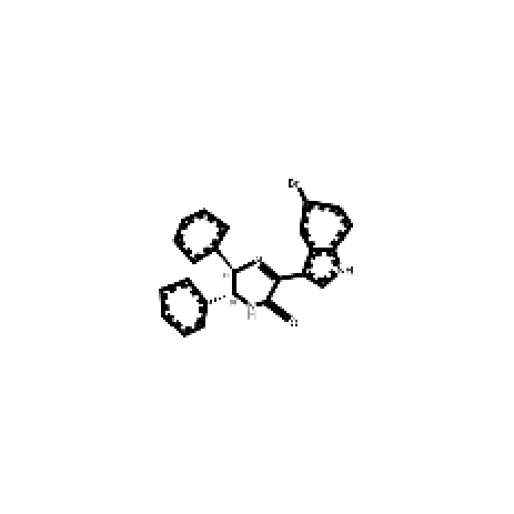 O=C1N[C@H](c2ccccc2)[C@@H](c2ccccc2)N=C1c1c[nH]c2ccc(Br)cc12